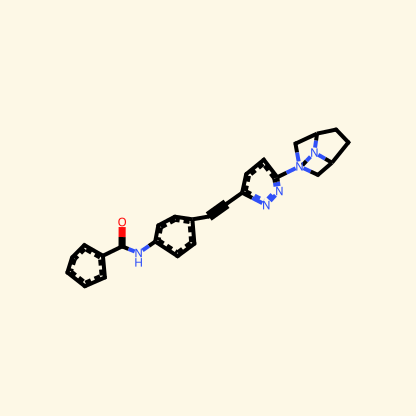 CN1C2CCC1CN(c1ccc(C#Cc3ccc(NC(=O)c4ccccc4)cc3)nn1)C2